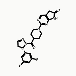 O=C1Cc2cnc(N3CCC(C(=O)N4N=CC[C@H]4c4cc(F)cc(F)c4)CC3)nc2N1